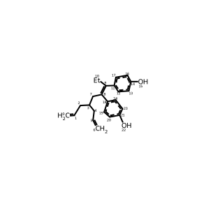 C=CCC(CC=C)CC(=C(CC)c1ccc(O)cc1)c1ccc(O)cc1